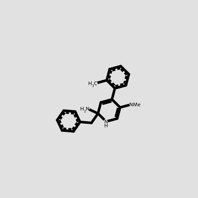 CNC1=CNC(N)(Cc2ccccc2)C=C1c1ccccc1C